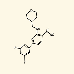 O=NNc1ccc(-c2cc(F)cc(F)c2)nc1NCC1CCOCC1